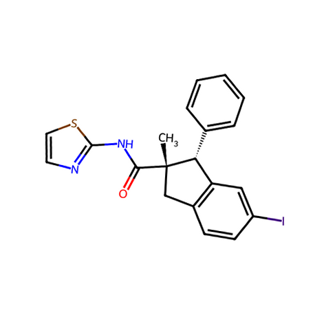 C[C@]1(C(=O)Nc2nccs2)Cc2ccc(I)cc2[C@H]1c1ccccc1